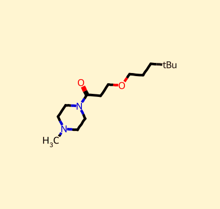 CN1CCN(C(=O)CCOCCCC(C)(C)C)CC1